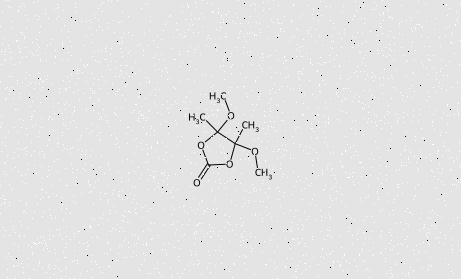 COC1(C)OC(=O)OC1(C)OC